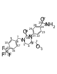 COC[C@@H]1CCN(Cc2ccc(C(F)(F)F)cc2)C(=O)N1c1ccc(C(N)=O)cc1